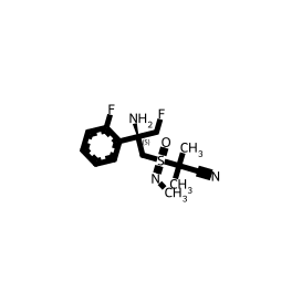 CN=S(=O)(C[C@@](N)(CF)c1ccccc1F)C(C)(C)C#N